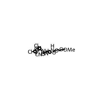 COCCOCCOCC(=O)Nc1ccc2[nH]c(C(=O)NCc3ccc(Cl)c(Oc4cc(Cl)cc(C#N)c4)c3F)cc2c1